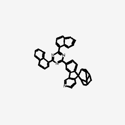 c1ccc2c(-c3nc(-c4ccc5c(c4)-c4cnccc4C54C5CC6CC(C5)CC4C6)nc(-c4cccc5ccccc45)n3)cccc2c1